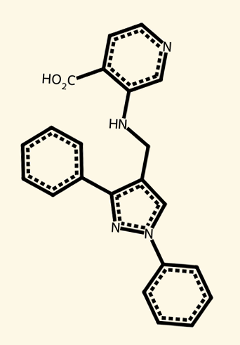 O=C(O)c1ccncc1NCc1cn(-c2ccccc2)nc1-c1ccccc1